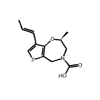 CC=Cc1csc2c1O[C@@H](C)CN(C(=O)O)C2